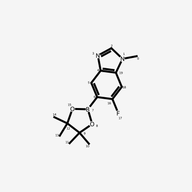 Cn1cnc2cc(B3OC(C)(C)C(C)(C)O3)c(F)cc21